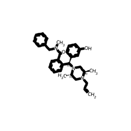 C=CCN1C[C@H](C)N([C@H](c2cccc(O)c2)c2ccccc2C(=O)N(C)Cc2ccccc2)C[C@H]1C